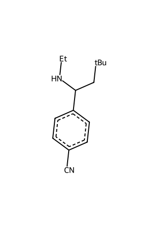 CCNC(CC(C)(C)C)c1ccc(C#N)cc1